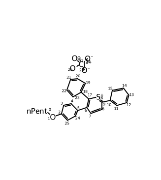 CCCCCOc1ccc(-c2ccc(-c3ccccc3)[s+]c2-c2ccccc2)cc1.[O-][Cl+3]([O-])([O-])[O-]